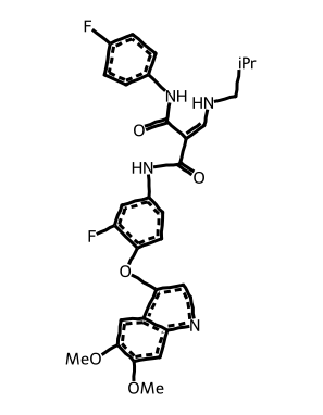 COc1cc2nccc(Oc3ccc(NC(=O)/C(=C/NCC(C)C)C(=O)Nc4ccc(F)cc4)cc3F)c2cc1OC